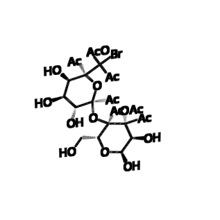 CC(=O)OC(Br)(C(C)=O)[C@@]1(C(C)=O)O[C@](O[C@]2(C(C)=O)[C@@H](CO)O[C@H](O)[C@H](O)[C@]2(OC(C)=O)C(C)=O)(C(C)=O)[C@H](O)[C@@H](O)[C@H]1O